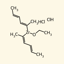 CC=CC=[C](C)[Zr]([O]CC)[C](C)=CC=CC.Cl.Cl